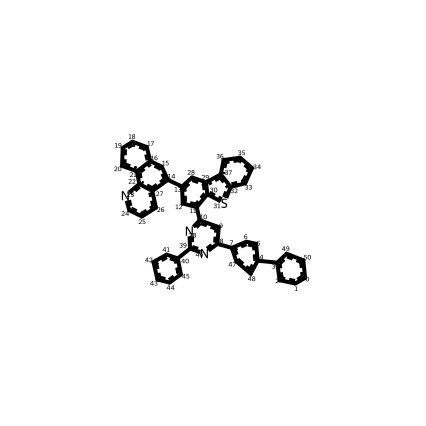 c1ccc(-c2ccc(-c3cc(-c4cc(-c5cc6ccccc6c6ncccc56)cc5c4sc4ccccc45)nc(-c4ccccc4)n3)cc2)cc1